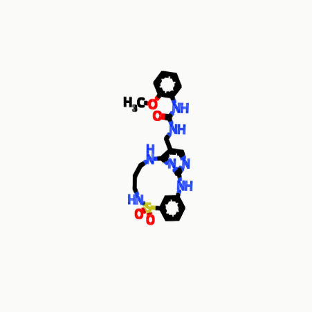 COc1ccccc1NC(=O)NCc1cnc2nc1NCCCNS(=O)(=O)c1cccc(c1)N2